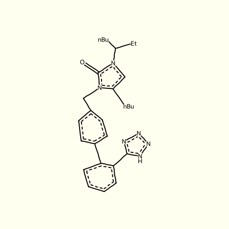 CCCCc1cn(C(CC)CCCC)c(=O)n1Cc1ccc(-c2ccccc2-c2nnn[nH]2)cc1